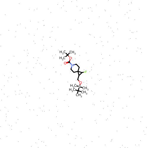 CC(C)(C)OC(=O)N1CCC2(CC1)C(F)C2CO[Si](C)(C)C(C)(C)C